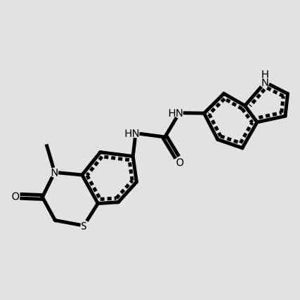 CN1C(=O)CSc2ccc(NC(=O)Nc3ccc4cc[nH]c4c3)cc21